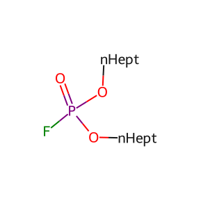 CCCCCCCOP(=O)(F)OCCCCCCC